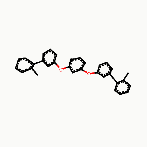 Cc1ccccc1-c1cccc(Oc2cccc(Oc3cccc(-c4ccccc4C)c3)c2)c1